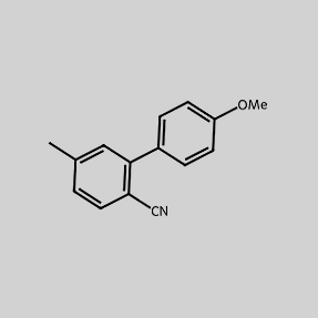 COc1ccc(-c2cc(C)ccc2C#N)cc1